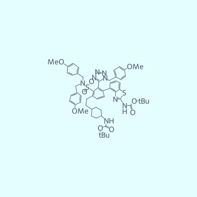 COc1ccc(CN(Cc2ccc(OC)cc2)S(=O)(=O)c2c(CCC3CCC(NC(=O)OC(C)(C)C)CC3)ccc(-c3cccc4sc(NC(=O)OC(C)(C)C)nc34)c2-c2nnnn2Cc2ccc(OC)cc2)cc1